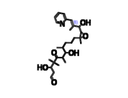 C/C(=C\c1ccccn1)C(O)C1OC1(C)CCCC(C)C(O)C(C)C(=O)C(C)(C)C(O)CC=O